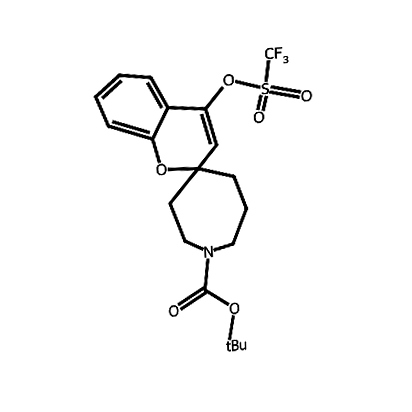 CC(C)(C)OC(=O)N1CCCC2(C=C(OS(=O)(=O)C(F)(F)F)c3ccccc3O2)CC1